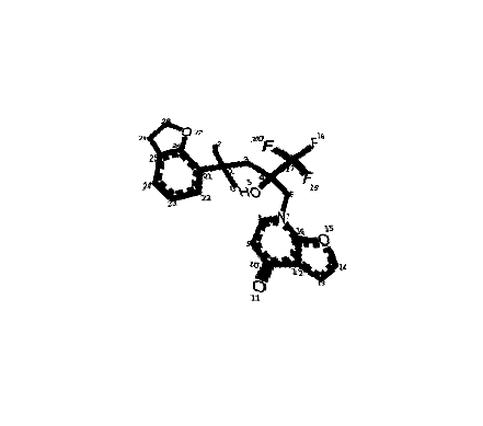 CC(C)(CC(O)(Cn1ccc(=O)c2ccoc21)C(F)(F)F)c1cccc2c1OCC2